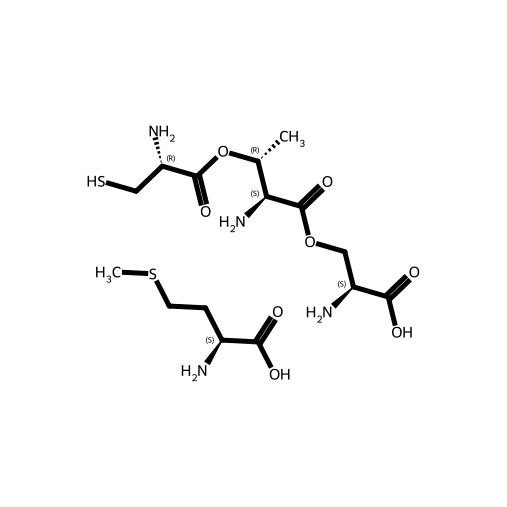 CSCC[C@H](N)C(=O)O.C[C@@H](OC(=O)[C@@H](N)CS)[C@H](N)C(=O)OC[C@H](N)C(=O)O